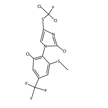 CSc1cc(C(F)(F)F)cc(Cl)c1-n1cc(SC(F)(Cl)Cl)nc1Cl